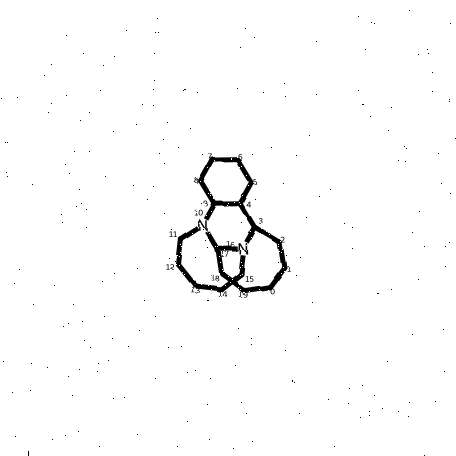 C1CCC2C3CCCCC3N3CCCCCN2C3CC1